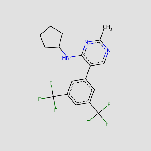 Cc1ncc(-c2cc(C(F)(F)F)cc(C(F)(F)F)c2)c(NC2CCCC2)n1